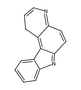 C1=CN=c2ccc3c(c2C1)-c1ccccc1N=3